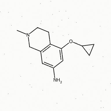 CN1CCc2c(cc(N)cc2OC2CC2)C1